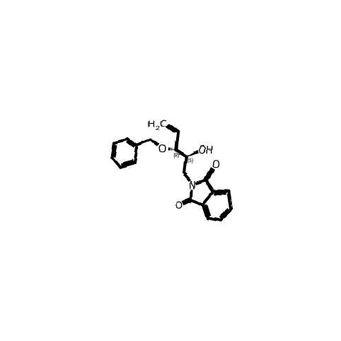 C=C[C@@H](OCc1ccccc1)[C@@H](O)CN1C(=O)c2ccccc2C1=O